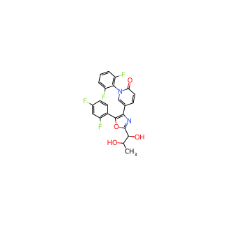 CC(O)[C@H](O)c1nc(-c2ccc(=O)n(-c3c(F)cccc3F)c2)c(-c2ccc(F)cc2F)o1